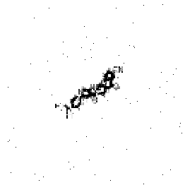 BNC1CCN(c2cc(C(=O)N3CCC4(CC3)CC(=O)c3cc(C#N)ccc3O4)c(N=O)cn2)CC1